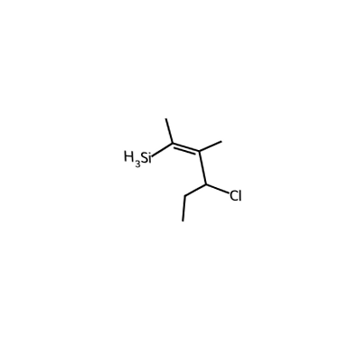 CCC(Cl)C(C)=C(C)[SiH3]